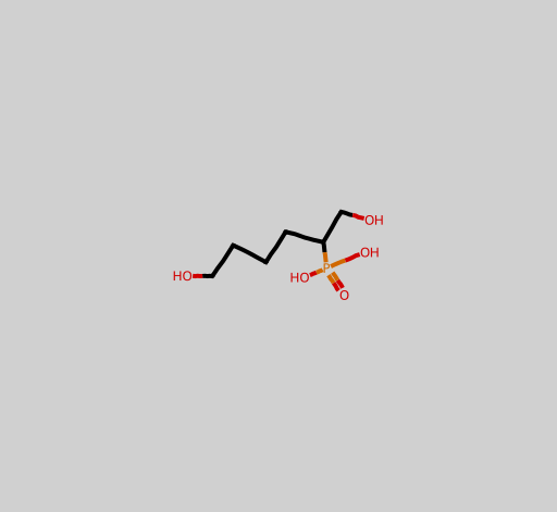 O=P(O)(O)C(CO)CCCCO